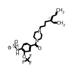 C=C/C=C(\C=C)CCCN1CCN(C(=O)c2ccc(N[SH](=O)=O)c(OC(F)(F)F)c2)CC1